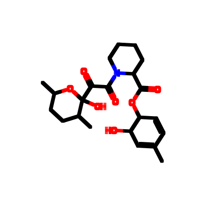 CC1=CC(O)C(OC(=O)C2CCCCN2C(=O)C(=O)C2(O)OC(C)CCC2C)C=C1